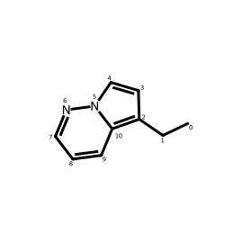 CCc1ccn2ncccc12